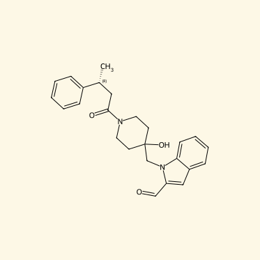 C[C@H](CC(=O)N1CCC(O)(Cn2c(C=O)cc3ccccc32)CC1)c1ccccc1